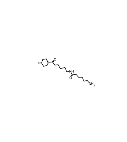 NCCCCCC(=O)NCCCCCC(=O)N1CCC(I)CC1